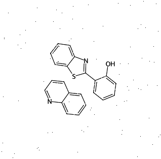 Oc1ccccc1-c1nc2ccccc2s1.c1ccc2ncccc2c1